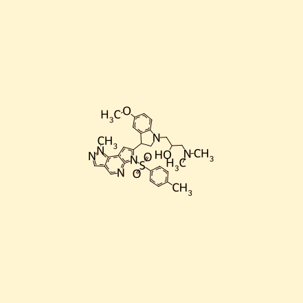 COc1ccc2c(c1)C(c1cc3c4c(cnc3n1S(=O)(=O)c1ccc(C)cc1)cnn4C)CN2CC(O)CN(C)C